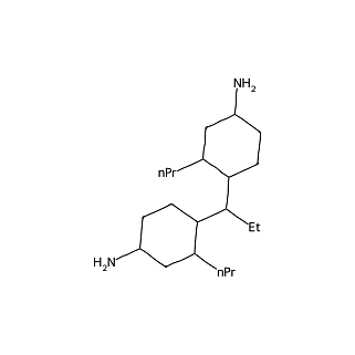 CCCC1CC(N)CCC1C(CC)C1CCC(N)CC1CCC